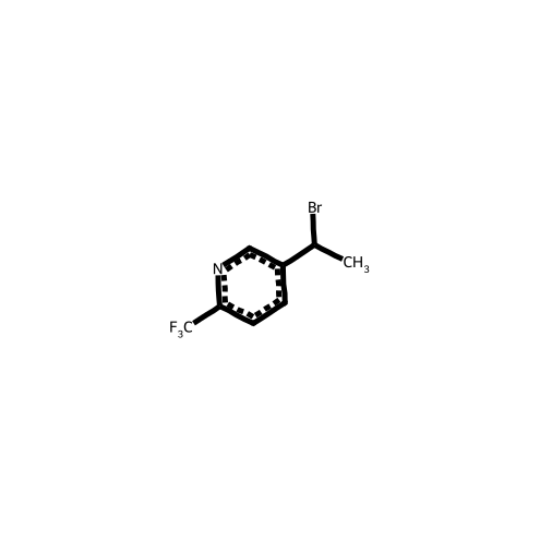 CC(Br)c1ccc(C(F)(F)F)nc1